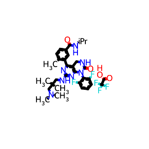 Cc1ccc(C(=O)NC(C)C)cc1-c1nc(NCC(C)(C)CN(C)C)nc2c1CNC(=O)N2c1c(F)cccc1F.O=C(O)C(F)(F)F